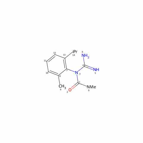 CNC(=O)N(C(=N)N)c1c(C)cccc1C(C)C